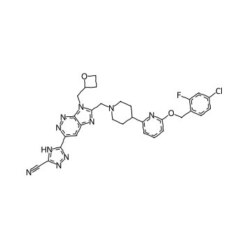 N#Cc1nnc(-c2cc3nc(CN4CCC(c5cccc(OCc6ccc(Cl)cc6F)n5)CC4)n(CC4CCO4)c3nn2)[nH]1